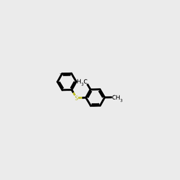 Cc1ccc(Sc2cc[c]cc2)c(C)c1